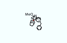 COc1nc2c(c(N3C4CCC3CC(OC)C4)n1)CN(Cc1ccccc1)CC2